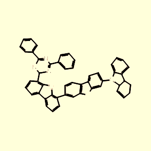 C1=CC2C(CC1)c1ccccc1N2c1ccc2c(c1)sc1cc(-c3cccc4c3oc3c(C5N=C(c6ccccc6)N=C(c6ccccc6)N5)cccc34)ccc12